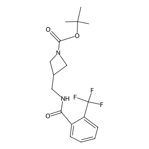 CC(C)(C)OC(=O)N1CC(CNC(=O)c2ccccc2C(F)(F)F)C1